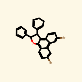 Brc1ccc2c3c(c4ccc(Br)cc4c2c1)C(C1=CCCC=C1)C(c1ccccc1)O3